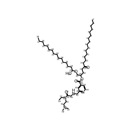 CCCCCCCCCCCCCCCC(=O)CCC(COC(O)CCCCCCCCCCCCCCC)OC(=O)c1ccnc(CNCC(=O)N(CC)CCN(C)C)c1